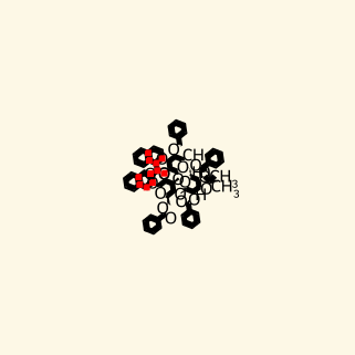 C[C@@H]1O[C@@H](O[C@@H]2[C@@H](OC(=O)c3ccccc3)[C@H](OCc3ccccc3)O[C@H](COC(=O)c3ccccc3)[C@H]2O[C@@H]2O[C@H](COC(=O)c3ccccc3)[C@@H]3OC(C)(C)O[C@@H]3[C@H]2OC(=O)c2ccccc2)[C@@H](OCc2ccccc2)[C@H](OCc2ccccc2)[C@@H]1OCc1ccccc1